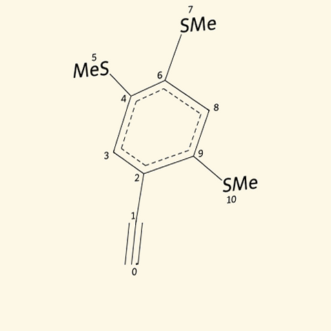 [C]#Cc1cc(SC)c(SC)cc1SC